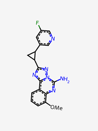 COc1cccc2c1nc(N)n1nc(C3CC3c3cncc(F)c3)nc21